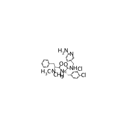 CN(C)C(Cc1ccccc1)C(=O)N[C@@H](Cc1ccc(Cl)c(Cl)c1)C(=O)NCc1ccc(N)nc1